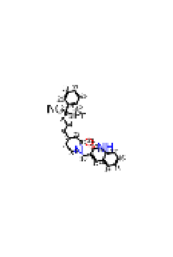 CC(C)C(C#N)(CCCC1CCN(Cc2cc3ccccc3[nH]c2=O)CC1)c1ccccc1